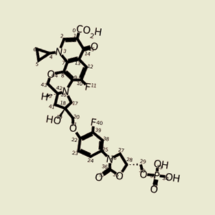 O=C(O)c1cn(C2CC2)c2c3c(c(F)cc2c1=O)N1C[C@](O)(COc2ccc(N4C[C@H](COP(=O)(O)O)OC4=O)cc2F)C[C@H]1CO3